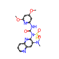 COc1cc(NC(=O)N(c2nc3cccnc3cc2N(C)C)[SH](=O)=O)nc(OC)c1